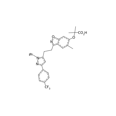 Cc1cc2c(CCc3cc(-c4ccc(C(F)(F)F)cc4)nn3C(C)C)noc2cc1OC(C)(C)C(=O)O